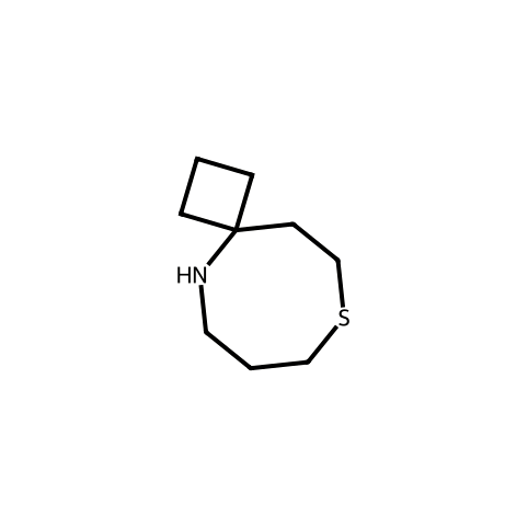 C1CNC2(CCC2)CCSC1